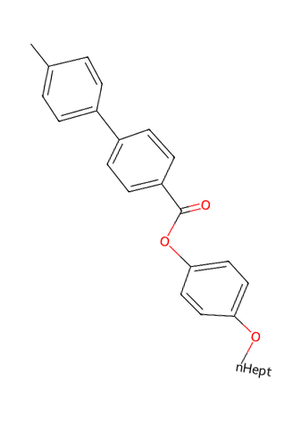 CCCCCCCOc1ccc(OC(=O)c2ccc(-c3ccc(C)cc3)cc2)cc1